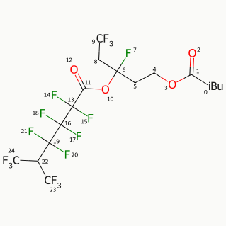 CCC(C)C(=O)OCCC(F)(CC(F)(F)F)OC(=O)C(F)(F)C(F)(F)C(F)(F)C(C(F)(F)F)C(F)(F)F